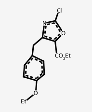 CCOC(=O)c1oc(Cl)nc1Cc1ccc(OCC)cc1